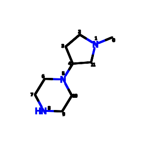 CN1CCC(N2CCNCC2)C1